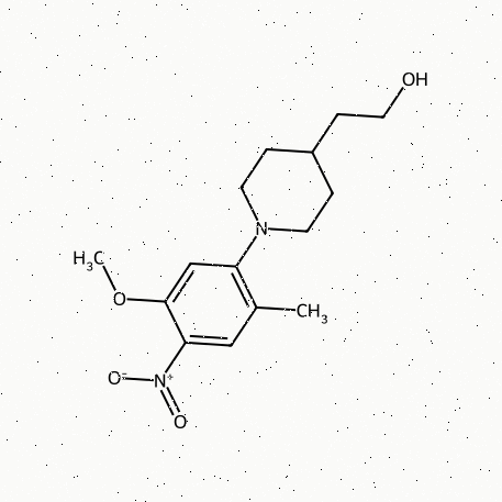 COc1cc(N2CCC(CCO)CC2)c(C)cc1[N+](=O)[O-]